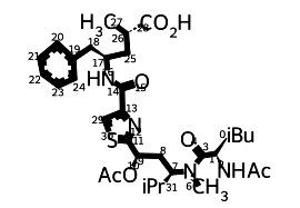 CC[C@H](C)[C@H](NC(C)=O)C(=O)N(C)[C@H](C[C@@H](OC(C)=O)c1nc(C(=O)N[C@@H](Cc2ccccc2)C[C@H](C)C(=O)O)cs1)C(C)C